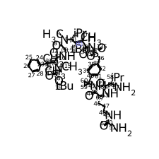 C/C(=C\[C@H](C(C)C)N(C)C(=O)[C@@H](NC(=O)[C@@H](N(C)C(=O)OC(C)(C)C)C(C)(C)c1ccccc1)C(C)(C)C)C(=O)NS(=O)(=O)Cc1ccc(C2(NC(=O)[C@@H](CCCNC(N)=O)NC(=O)[C@H](N)C(C)C)CC2)cc1